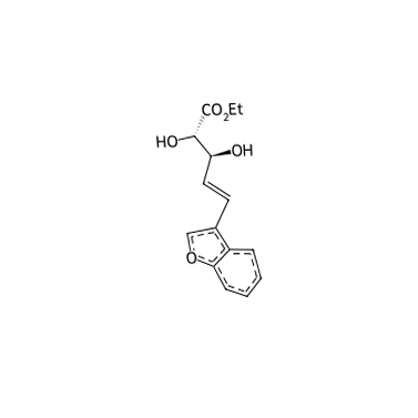 CCOC(=O)[C@@H](O)[C@@H](O)/C=C/c1coc2ccccc12